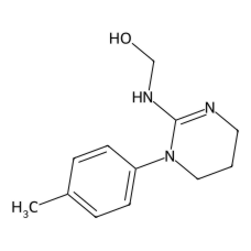 Cc1ccc(N2CCCN=C2NCO)cc1